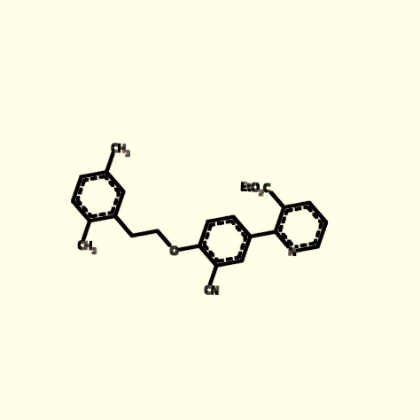 CCOC(=O)c1cccnc1-c1ccc(OCCc2cc(C)ccc2C)c(C#N)c1